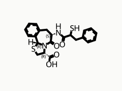 O=C(N[C@H]1Cc2ccccc2[C@H]2SC[C@@H](C(=O)O)N2C1=O)C(S)Cc1ccccc1